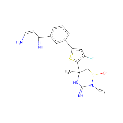 CN1C(=N)NC(C)(c2sc(-c3cccc(C(=N)/C=C\N)c3)cc2F)C[S+]1[O-]